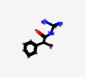 CCC(C(=O)NC(=N)N)c1ccccc1